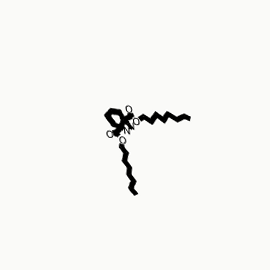 CCCCCCCCOC(=O)C12C=CC=CC1(C(=O)OCCCCCCCC)N=N2